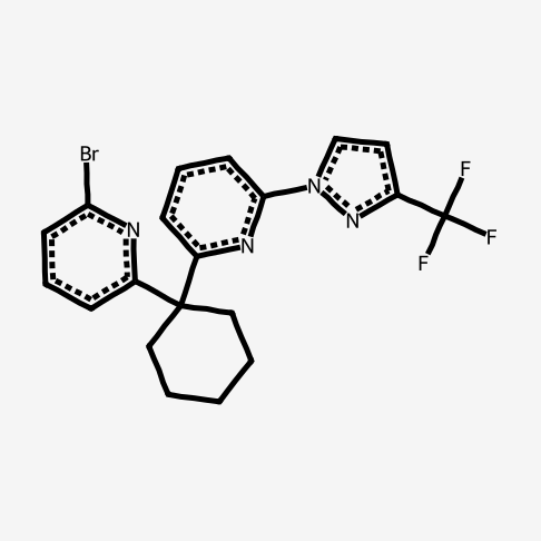 FC(F)(F)c1ccn(-c2cccc(C3(c4cccc(Br)n4)CCCCC3)n2)n1